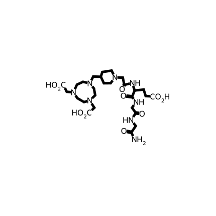 NC(=O)CNC(=O)CNC(=O)C(CCC(=O)O)NC(=O)CN1CCC(CN2CCN(CC(=O)O)CCN(CC(=O)O)CC2)CC1